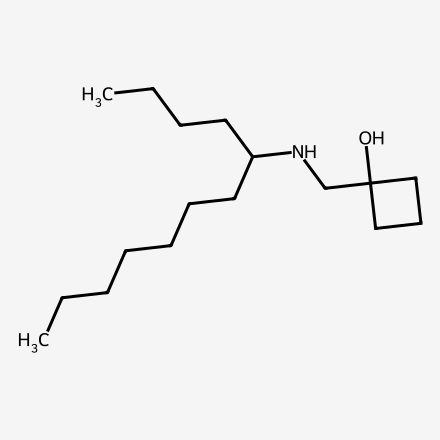 CCCCCCCC(CCCC)NCC1(O)CCC1